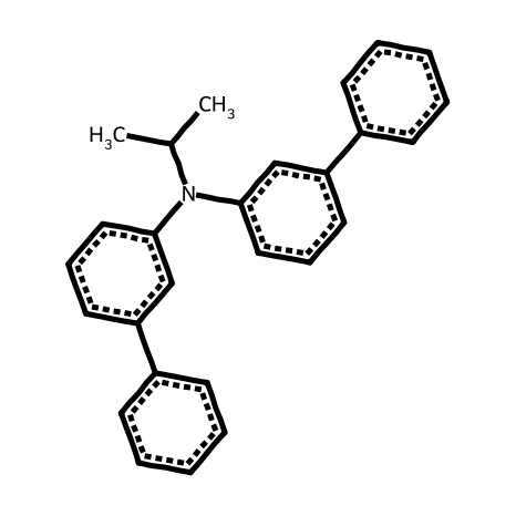 CC(C)N(c1cccc(-c2ccccc2)c1)c1cccc(-c2ccccc2)c1